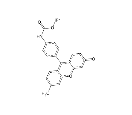 Cc1ccc2c(-c3ccc(NC(=O)OC(C)C)cc3)c3ccc(=O)cc-3oc2c1